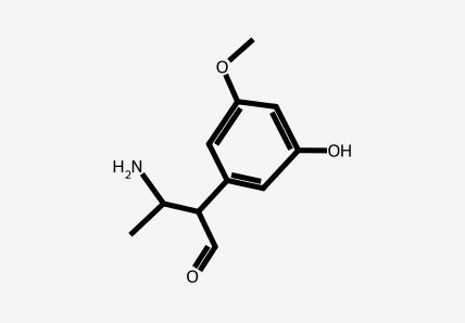 COc1cc(O)cc(C(C=O)C(C)N)c1